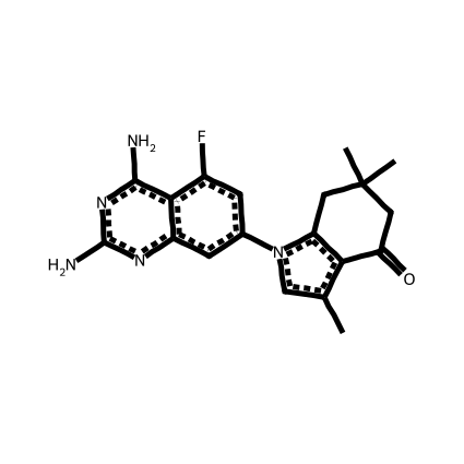 Cc1cn(-c2cc(F)c3c(N)nc(N)nc3c2)c2c1C(=O)CC(C)(C)C2